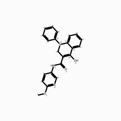 COc1ccc(NC(=O)C2=C(O)c3ccccc3N(c3ccccc3)C2)cn1